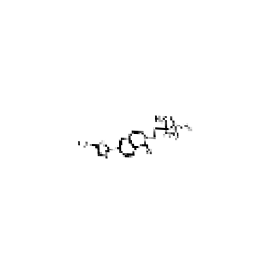 Cc1cnc(-c2ccc3c(=O)n(CC[C@](C)(C(=O)O)S(C)(=O)=O)ccc3c2)s1